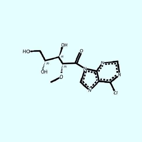 CO[C@@H](C(=O)n1cnc2c(Cl)ncnc21)[C@H](O)[C@H](O)CO